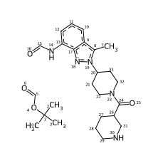 CC(C)(C)OC=O.Cc1c2cccc(NC=O)c2nn1C1CCN(C(=O)C2CCCNC2)CC1